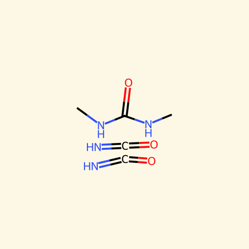 CNC(=O)NC.N=C=O.N=C=O